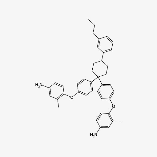 CCCc1cccc(C2CCC(c3ccc(Oc4ccc(N)cc4C)cc3)(c3ccc(Oc4ccc(N)cc4C)cc3)CC2)c1